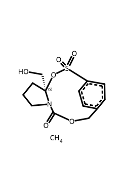 C.O=C1OCc2ccc(cc2)S(=O)(=O)O[C@]2(CO)CCCN12